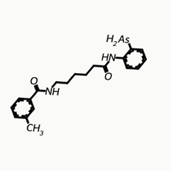 Cc1cccc(C(=O)NCCCCCC(=O)Nc2ccccc2[AsH2])c1